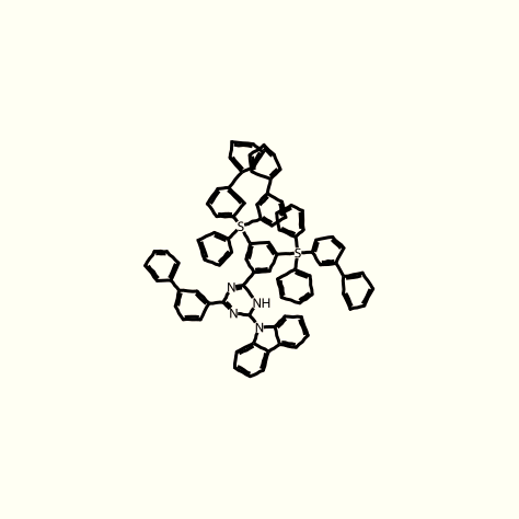 c1ccc(-c2cccc(C3=NC(n4c5ccccc5c5ccccc54)NC(c4cc(S(c5ccccc5)(c5ccccc5)c5cccc(-c6ccccc6)c5)cc(S(c5ccccc5)(c5cccc(-c6ccccc6)c5)c5cccc(-c6ccccc6)c5)c4)=N3)c2)cc1